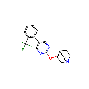 FC(F)(F)c1ccccc1-c1cnc(OC2CN3CCC2CC3)nc1